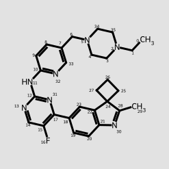 CCN1CCN(Cc2ccc(Nc3ncc(F)c(-c4ccc5c(c4)C4(CCC4)C(C)=N5)n3)nc2)CC1